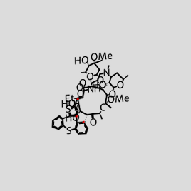 CC[C@H]1OC(=O)[C@H](C)[C@@H](O[C@H]2C[C@@](C)(OC)[C@@H](O)[C@H](C)O2)[C@H](C)[C@@H](O[C@@H]2O[C@H](C)C[C@H](N(C)CCCNC(=O)/C=C/c3cc4c(s3)-c3ccccc3Sc3ccccc3-4)[C@H]2O)[C@](C)(OC)C[C@@H](C)C(=O)[C@H](C)[C@@H](O)[C@]1(C)O